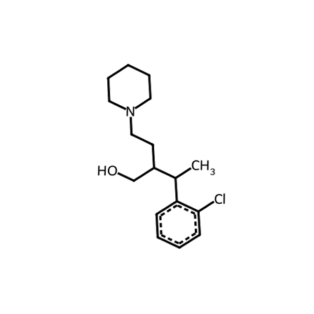 CC(c1ccccc1Cl)C(CO)CCN1CCCCC1